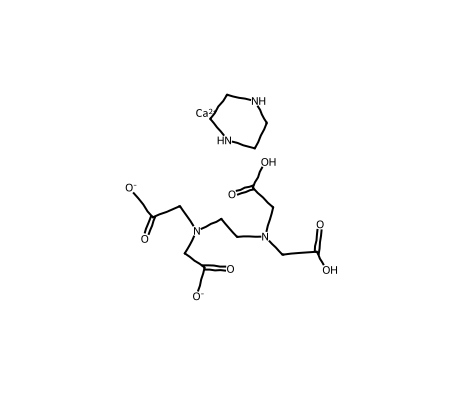 C1CNCCN1.O=C([O-])CN(CCN(CC(=O)O)CC(=O)O)CC(=O)[O-].[Ca+2]